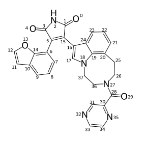 O=C1NC(=O)C(c2cccc3ccoc23)=C1c1cn2c3c(cccc13)CCN(C(=O)c1cnccn1)CC2